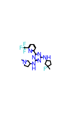 CN1CCC(Nc2nc(NC3CCC(C)(F)C3)nc(-c3cccc(C(F)(F)F)n3)n2)C1